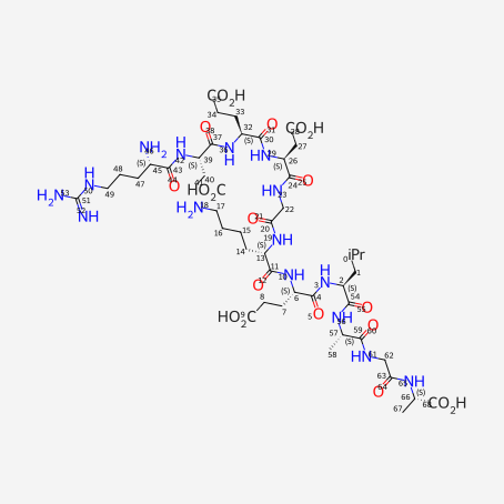 CC(C)C[C@H](NC(=O)[C@H](CCC(=O)O)NC(=O)[C@H](CCCCN)NC(=O)CNC(=O)[C@H](CC(=O)O)NC(=O)[C@H](CCC(=O)O)NC(=O)[C@H](CC(=O)O)NC(=O)[C@@H](N)CCCNC(=N)N)C(=O)N[C@@H](C)C(=O)NCC(=O)N[C@@H](C)C(=O)O